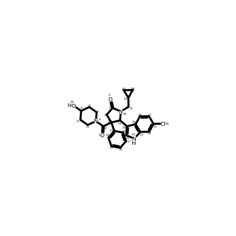 O=C1CC(C(=O)N2CCC(O)CC2)(c2ccccc2)C(c2c[nH]c3cc(Cl)ccc23)N1CC1CC1